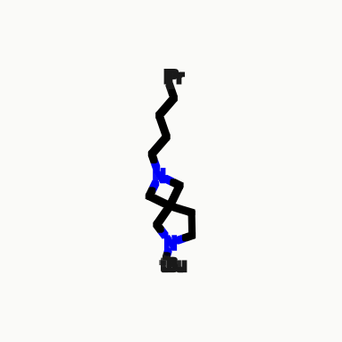 CC(C)CCCCN1CC2(CCN(C(C)(C)C)C2)C1